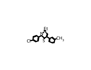 CCn1cc(-c2cccc(C)c2)c(=S)c(-c2ccc(Cl)cc2)n1